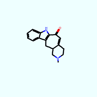 CN1CCC2=CC(=O)c3[nH]c4ccccc4c3CC2C1